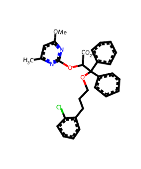 COc1cc(C)nc(OC(C(=O)O)C(OCCCc2ccccc2Cl)(c2ccccc2)c2ccccc2)n1